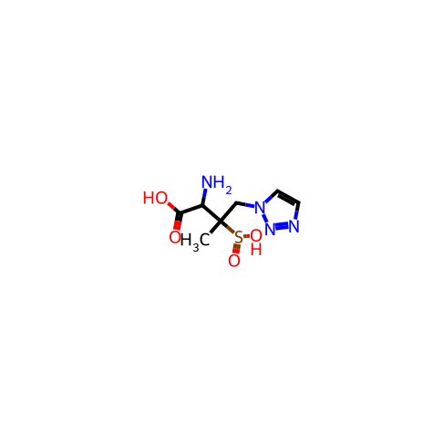 CC(Cn1ccnn1)(C(N)C(=O)O)S(=O)O